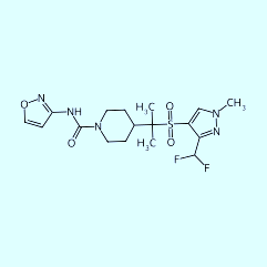 Cn1cc(S(=O)(=O)C(C)(C)C2CCN(C(=O)Nc3ccon3)CC2)c(C(F)F)n1